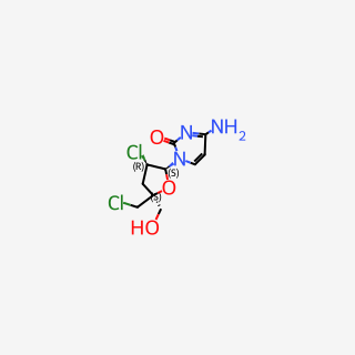 Nc1ccn([C@H]2O[C@@](CO)(CCl)C[C@H]2Cl)c(=O)n1